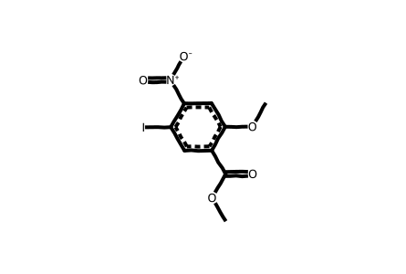 COC(=O)c1cc(I)c([N+](=O)[O-])cc1OC